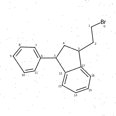 BrCCC1CC(c2ccccc2)c2ccccc21